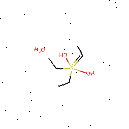 CC=S(O)(O)(CC)CC.O